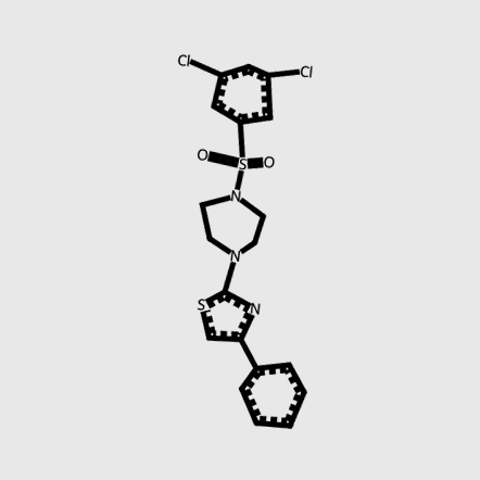 O=S(=O)(c1cc(Cl)cc(Cl)c1)N1CCN(c2nc(-c3ccccc3)cs2)CC1